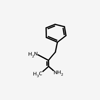 CC(N)=C(N)Cc1ccccc1